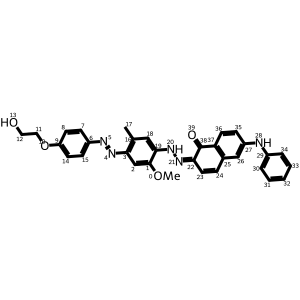 COc1cc(/N=N/c2ccc(OCCO)cc2)c(C)cc1N/N=C1/C=Cc2cc(Nc3ccccc3)ccc2C1=O